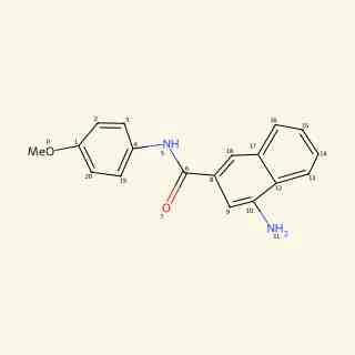 COc1ccc(NC(=O)c2cc(N)c3ccccc3c2)cc1